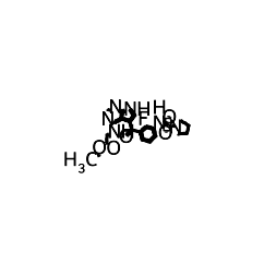 CCOC(=O)CNc1ncnc2[nH]cc(C(=O)c3cccc(NS(=O)(=O)N4CCCC4)c3F)c12